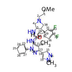 COCCN1CC(NC(=O)Nc2c(C)c(-c3cnn(C)c3)nn2-c2ccccc2)[C@H](C2(C)C=C(F)C(F)=CC2)C1